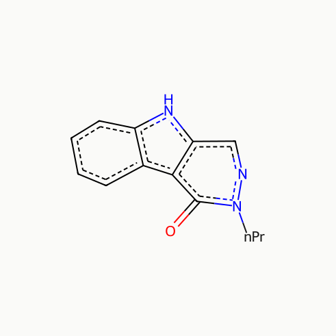 CCCn1ncc2[nH]c3ccccc3c2c1=O